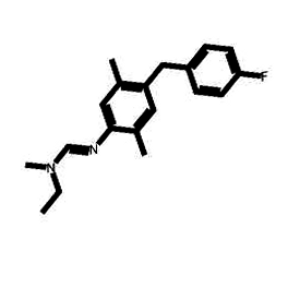 CCN(C)C=Nc1cc(C)c(Cc2ccc(F)cc2)cc1C